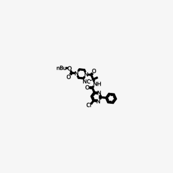 CCCCOC(=O)N1CCN(C(=O)[C@](C)(C#N)NC(=O)c2cc(Cl)nc(-c3ccccc3)n2)CC1